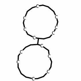 C1CCCCCCCCC(C2CCCCCCCCCCCCCCCCC2)CCCCCCCC1